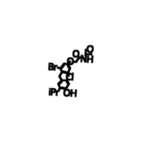 CC(C)c1cc(Cc2c(Cl)cc(OCC(=O)NC3COC3)cc2Br)ccc1O